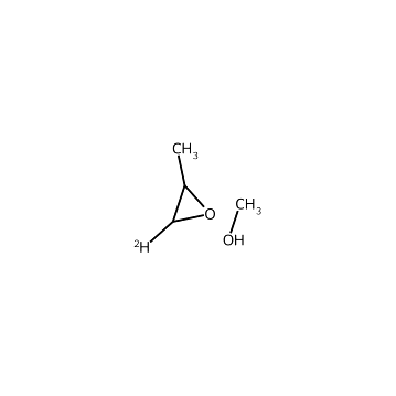 CO.[2H]C1OC1C